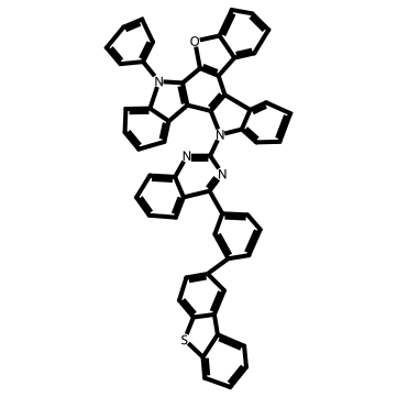 c1ccc(-n2c3ccccc3c3c2c2oc4ccccc4c2c2c4ccccc4n(-c4nc(-c5cccc(-c6ccc7sc8ccccc8c7c6)c5)c5ccccc5n4)c23)cc1